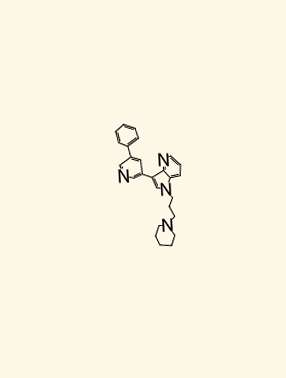 c1ccc(-c2cncc(-c3cn(CCCN4CCCCC4)c4cccnc34)c2)cc1